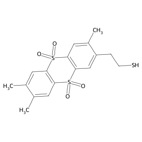 Cc1cc2c(cc1C)S(=O)(=O)c1cc(CCS)c(C)cc1S2(=O)=O